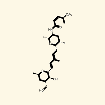 CC(=O)O[C@@H](C)/C=C\C(=O)N[C@@H]1C[C@H](C)[C@H](C/C=C(C)/C=C/[C@H]2O[C@H](C)C[C@@H](CO)[C@@H]2O)O[C@@H]1C